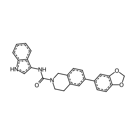 O=C(Nc1c[nH]c2ccccc12)N1CCc2cc(-c3ccc4c(c3)OCO4)ccc2C1